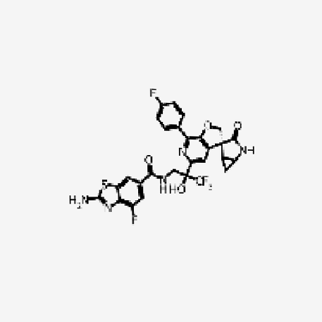 Nc1nc2c(F)cc(C(=O)NCC(O)(c3cc4c(c(-c5ccc(F)cc5)n3)OC[C@@]43C(=O)NC4CC43)C(F)(F)F)cc2s1